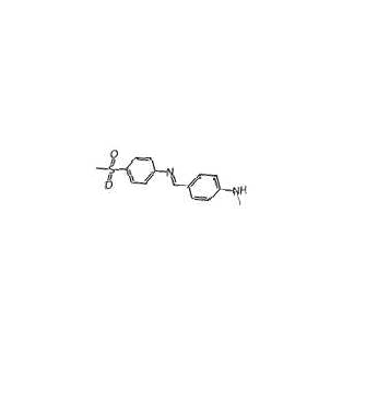 CNc1ccc(/C=N/c2ccc(S(C)(=O)=O)cc2)cc1